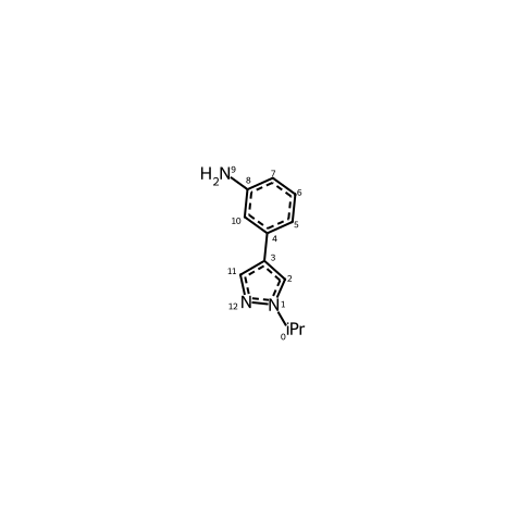 CC(C)n1cc(-c2cccc(N)c2)cn1